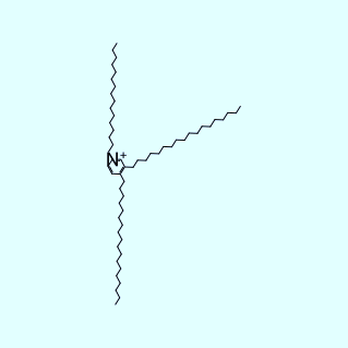 CCCCCCCCCCCCCCCCCCc1cc[n+](CCCCCCCCCCCCCCCC)cc1CCCCCCCCCCCCCCCCCC